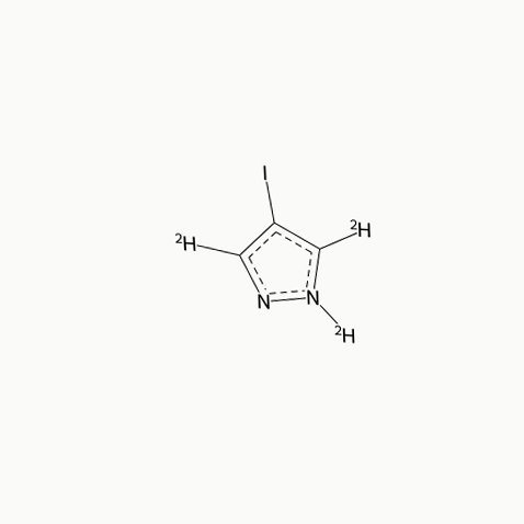 [2H]c1nn([2H])c([2H])c1I